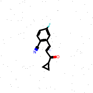 N#Cc1ccc(F)cc1/C=C/C(=O)C1CC1